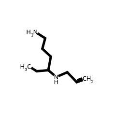 C=CCNC(CC)CCCN